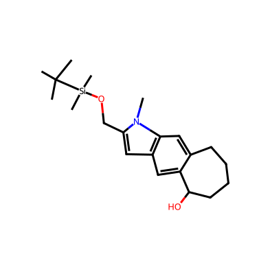 Cn1c(CO[Si](C)(C)C(C)(C)C)cc2cc3c(cc21)CCCCC3O